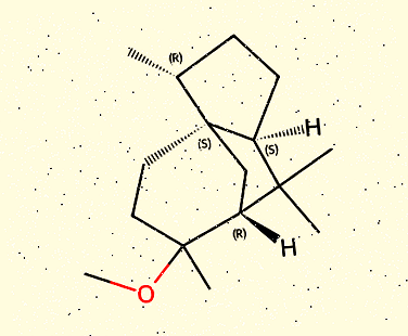 COC1(C)CC[C@@]23C[C@@H]1C(C)(C)[C@@H]2CC[C@H]3C